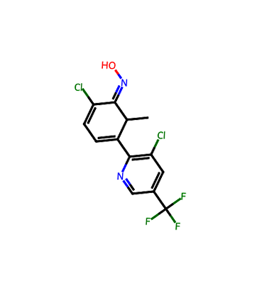 CC1C(c2ncc(C(F)(F)F)cc2Cl)=CC=C(Cl)C1=NO